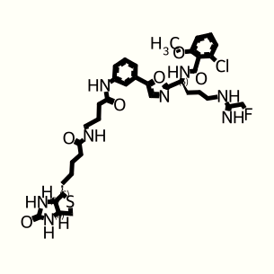 COc1cccc(Cl)c1C(=O)N[C@@H](CCCNC(=N)CF)c1ncc(-c2cccc(NC(=O)CCCNC(=O)CCCC[C@@H]3SC[C@@H]4NC(=O)N[C@@H]43)c2)o1